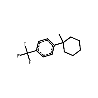 CC1(c2ccc(C(F)(F)F)cc2)CCCCC1